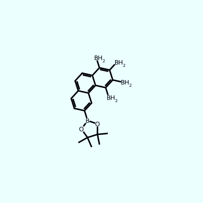 Bc1c(B)c(B)c2c(ccc3ccc(B4OC(C)(C)C(C)(C)O4)cc32)c1B